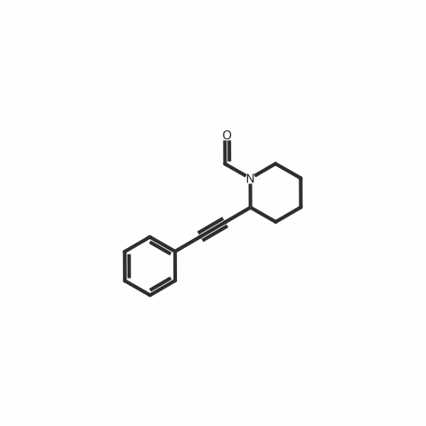 O=CN1CCCCC1C#Cc1ccccc1